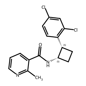 Cc1ncccc1C(=O)N[C@H]1CC[C@H]1c1ccc(Cl)cc1Cl